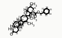 CC1=C2C[C@H]3[C@@H](CC[C@@H]4NC(=O)CC[C@@]43C)[C@@H]2CC[C@@]2(C1)O[C@@H]1C[C@H](C)CN(C(=O)OCc3ccccc3)[C@H]1[C@H]2C